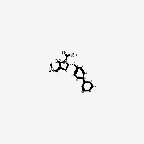 CN(C)C=C1C[C@@H](Cc2ccc(-c3ccccc3)cc2)N(C(=O)C(C)(C)C)C1=O